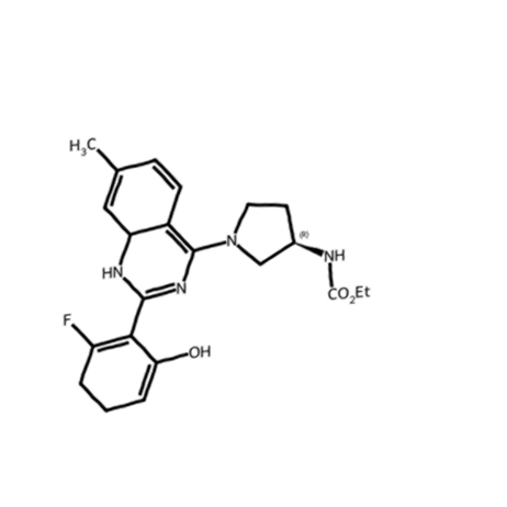 CCOC(=O)N[C@@H]1CCN(C2=C3C=CC(C)=CC3NC(C3=C(F)CCC=C3O)=N2)C1